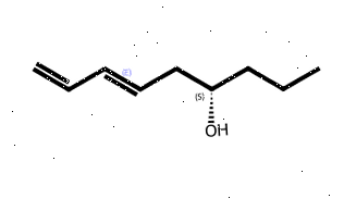 C=C/C=C/C[C@@H](O)CCC